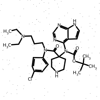 CCN(CC)CCCN(C(=O)C1(N(C(=O)OC(C)(C)C)c2ncnc3[nH]ccc23)CCNCC1)c1ccc(Cl)cc1